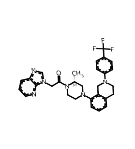 C[C@@H]1CN(c2cccc3c2CN(c2ccc(C(F)(F)F)cc2)CC3)CCN1C(=O)Cn1cnc2cccnc21